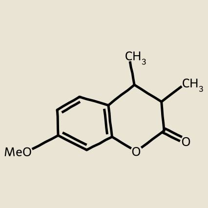 COc1ccc2c(c1)OC(=O)C(C)C2C